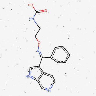 O=C(O)NCCO/N=C(\c1ccccc1)c1c[nH]c2cnccc12